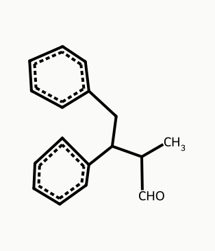 CC(C=O)C(Cc1ccccc1)c1ccccc1